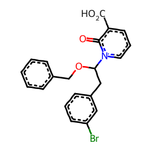 O=C(O)c1cccn(C(Cc2cccc(Br)c2)OCc2ccccc2)c1=O